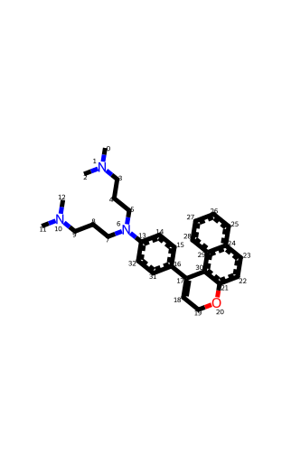 CN(C)CCCN(CCCN(C)C)c1ccc(C2=CCOc3ccc4ccccc4c32)cc1